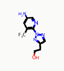 Nc1cnc(-n2ncc(CCO)n2)c(C(F)(F)F)c1